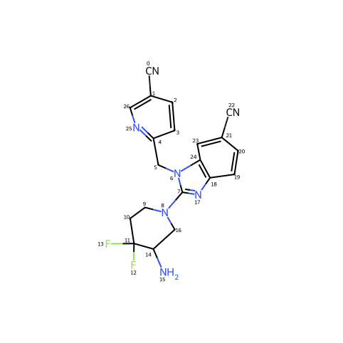 N#Cc1ccc(Cn2c(N3CCC(F)(F)C(N)C3)nc3ccc(C#N)cc32)nc1